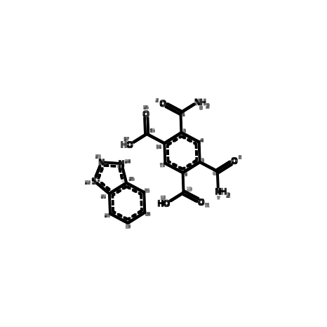 NC(=O)c1cc(C(N)=O)c(C(=O)O)cc1C(=O)O.c1ccc2snnc2c1